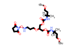 CC(C)(CCOC(C)(C)C)NC(=O)OCC(COC(=O)NC(C)(C)CCOC(C)(C)C)OCCCNON1C(=O)CCC1=O